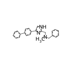 CN(Cc1ccccc1)Cc1nc(-c2ccc(-c3ccccc3)cc2)c[nH]1